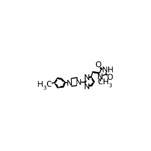 Cc1ccc(N2CCN(c3nccc(C=C4C(=O)NC(=O)N4C)n3)CC2)cc1